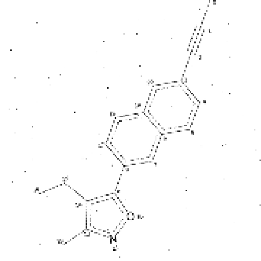 CC#Cc1ccc2cc(-c3onc(C)c3CC)ccc2c1